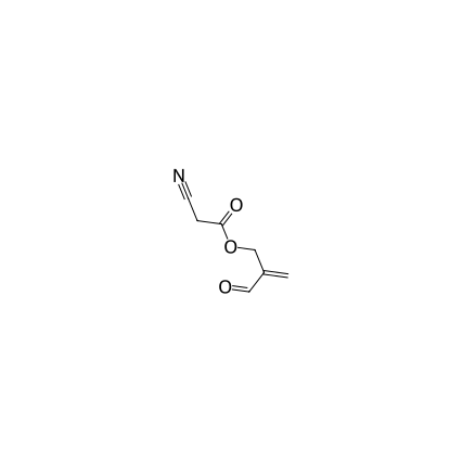 C=C(C=O)COC(=O)CC#N